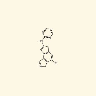 Clc1cc2sc(Nc3ncccn3)nc2c2c1CN=C2